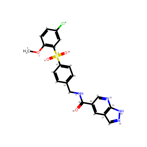 COc1ccc(Cl)cc1S(=O)(=O)c1ccc(CNC(=O)c2cnc3[nH]ncc3c2)cc1